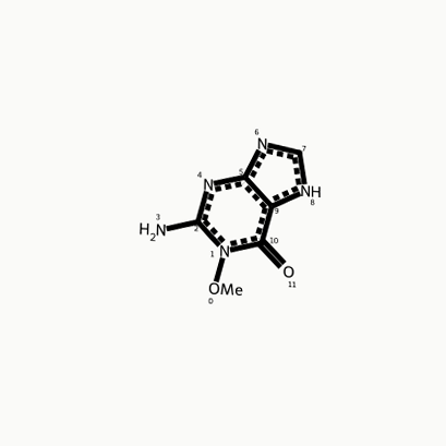 COn1c(N)nc2nc[nH]c2c1=O